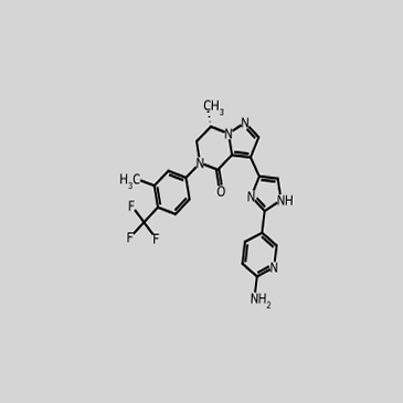 Cc1cc(N2C[C@H](C)n3ncc(-c4c[nH]c(-c5ccc(N)nc5)n4)c3C2=O)ccc1C(F)(F)F